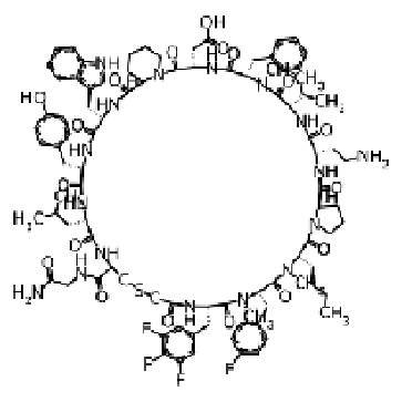 CCCC[C@H]1C(=O)N2CCC[C@@H]2C(=O)N[C@@H](CCN)C(=O)N[C@@H](C(C)C)C(=O)N(C)[C@@H](Cc2ccccc2)C(=O)N[C@@H](CC(=O)O)C(=O)N2CCCC[C@@H]2C(=O)N[C@@H](Cc2c[nH]c3ccccc23)C(=O)N[C@@H](Cc2ccc(O)cc2)C(=O)N[C@@H](CC(C)C)C(=O)N[C@H](C(=O)NCC(N)=O)CSCC(=O)N[C@@H](Cc2cc(F)c(F)c(F)c2)C(=O)N(C)[C@@H](Cc2ccc(F)cc2)C(=O)N1C